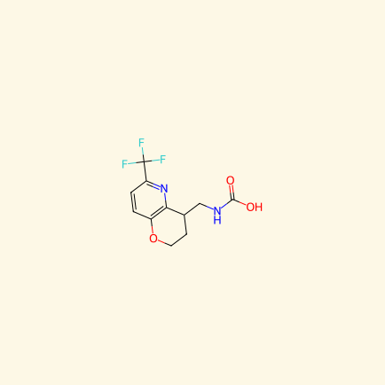 O=C(O)NCC1CCOc2ccc(C(F)(F)F)nc21